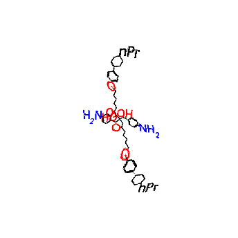 CCC[C@H]1CC[C@H](c2ccc(OCCCCCC(=O)CC(Cc3ccc(N)cc3)(Cc3ccc(N)cc3)C(O)(O)C(=O)CCCCCOc3ccc([C@H]4CC[C@H](CCC)CC4)cc3)cc2)CC1